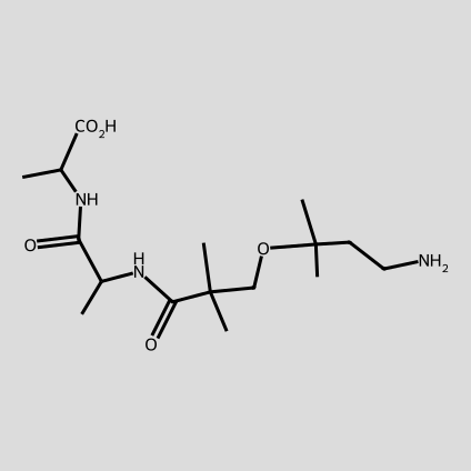 CC(NC(=O)C(C)NC(=O)C(C)(C)COC(C)(C)CCN)C(=O)O